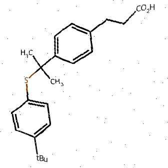 CC(C)(C)c1ccc(SC(C)(C)c2ccc(CCC(=O)O)cc2)cc1